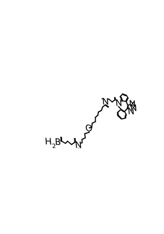 BC(=C)CCCC(=C)N(C)CCCCCOCCCCCCCCC(=C)N(C)CCC(=C)N1CC2=C(C=CC=C=C2)c2nnn(C)c2-c2ccccc21